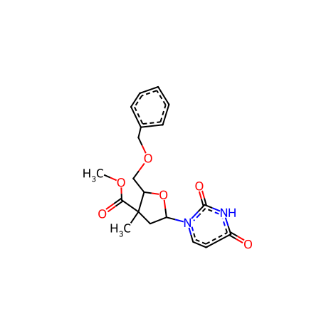 COC(=O)C1(C)CC(n2ccc(=O)[nH]c2=O)OC1COCc1ccccc1